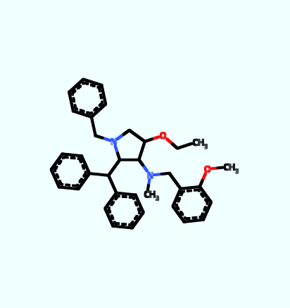 CCOC1CN(Cc2ccccc2)C(C(c2ccccc2)c2ccccc2)C1N(C)Cc1ccccc1OC